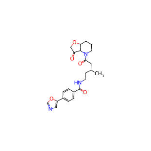 CC(CCNC(=O)c1ccc(-c2cnco2)cc1)CC(=O)N1CCCC2OCC(=O)C21